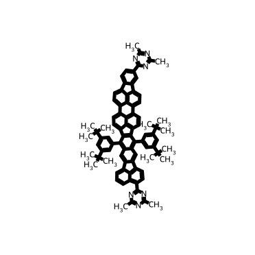 Cc1nc(C)nc(-c2ccc3c(c2)-c2ccc4c5ccc6c7c(-c8cc(C(C)(C)C)cc(C(C)(C)C)c8)c8cc9c(cc8c(-c8cc(C(C)(C)C)cc(C(C)(C)C)c8)c7c7ccc(c8ccc-3c2c84)c5c76)c2cccc3c(-c4nc(C)nc(C)n4)ccc9c32)n1